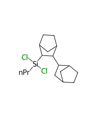 CCC[Si](Cl)(Cl)C1C2CCC(C2)C1C1CC2CCC1C2